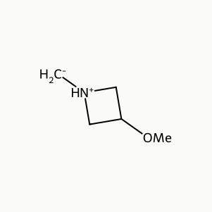 [CH2-][NH+]1CC(OC)C1